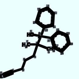 C#CCCCC(C)(C)[Si](O)(c1ccccc1)c1ccccc1